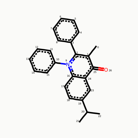 Cc1c(-c2ccccc2)n(-c2ccccc2)c2ccc(C(C)C)cc2c1=O